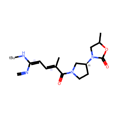 C=N/C(=C\C=C(/C)C(=O)N1CC[C@H](N2CC(C)OC2=O)C1)NC(C)(C)C